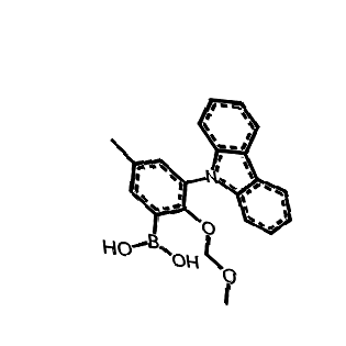 COCOc1c(B(O)O)cc(C)cc1-n1c2ccccc2c2ccccc21